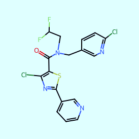 O=C(c1sc(-c2cccnc2)nc1Cl)N(Cc1ccc(Cl)nc1)CC(F)F